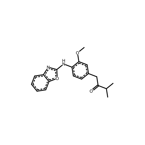 COc1cc(CC(=O)C(C)C)ccc1Nc1nc2ccccc2o1